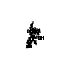 CCCCc1ncc(/C=C2/C(=O)N(CCCC)C(=O)N2Cc2cnc[nH]2)n1Cc1ccc(C(=O)OC)cc1.Cl